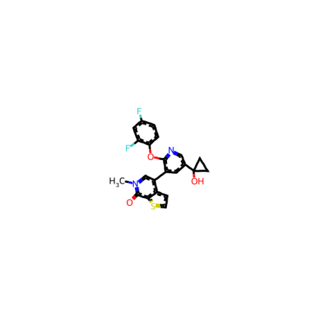 Cn1cc(-c2cc(C3(O)CC3)cnc2Oc2ccc(F)cc2F)c2ccsc2c1=O